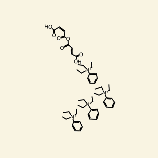 CC[N+](CC)(CC)c1ccccc1.CC[N+](CC)(CC)c1ccccc1.CC[N+](CC)(CC)c1ccccc1.CC[N+](CC)(CC)c1ccccc1.O=C(O)/C=C\C(=O)OC(=O)/C=C/C(=O)O